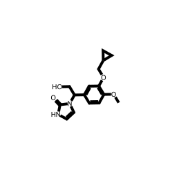 COc1ccc(C(CO)n2cc[nH]c2=O)cc1OCC1CC1